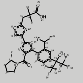 C[C@H]1CCCN1C(=O)c1nc(-c2noc(CC(C)(C)C(=O)O)n2)sc1-c1ccc(C(O)(C(F)(F)F)C(F)(F)F)cc1C(F)F